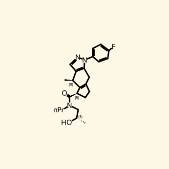 CCCN(C[C@H](C)O)C(=O)[C@@H]1CCC2=C1[C@@H](C)c1cnn(-c3ccc(F)cc3)c1C2